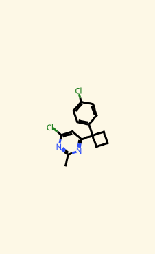 Cc1nc(Cl)cc(C2(c3ccc(Cl)cc3)CCC2)n1